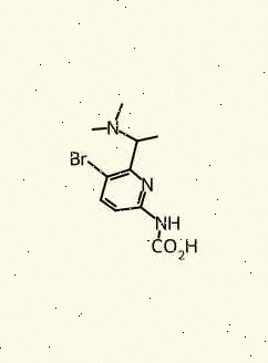 CC(c1nc(NC(=O)O)ccc1Br)N(C)C